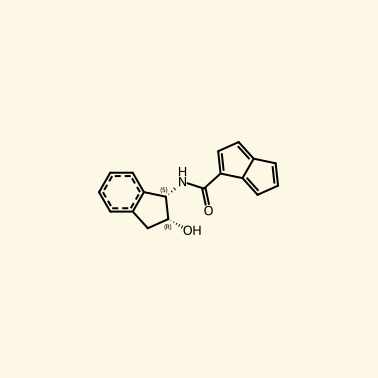 O=C(N[C@H]1c2ccccc2C[C@H]1O)C1=CC=C2C=CC=C21